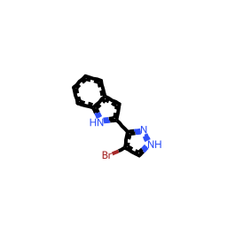 Brc1c[nH]nc1-c1cc2ccccc2[nH]1